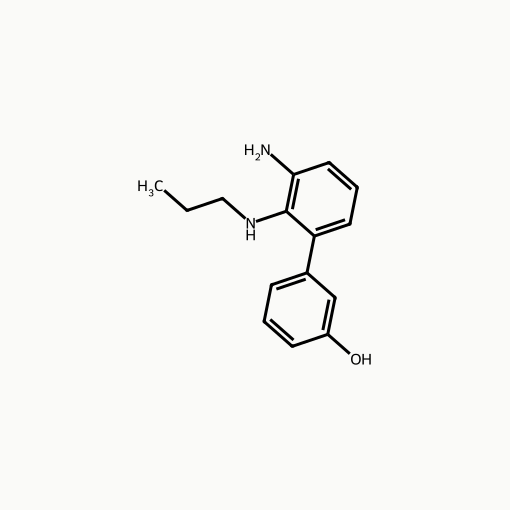 CCCNc1c(N)cccc1-c1cccc(O)c1